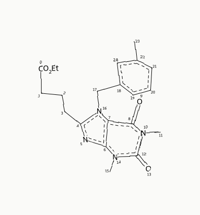 CCOC(=O)CCCc1nc2c(c(=O)n(C)c(=O)n2C)n1Cc1cccc(C)c1